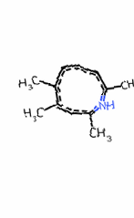 Cc1cccc(C)c(C)cc(C)[nH]1